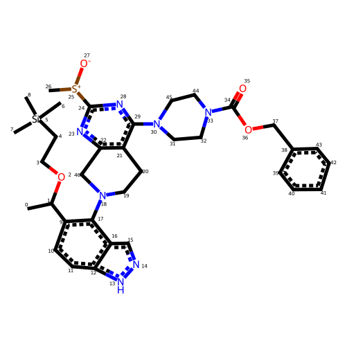 CC(OCC[Si](C)(C)C)c1ccc2[nH]ncc2c1N1CCc2c(nc([S+](C)[O-])nc2N2CCN(C(=O)OCc3ccccc3)CC2)C1